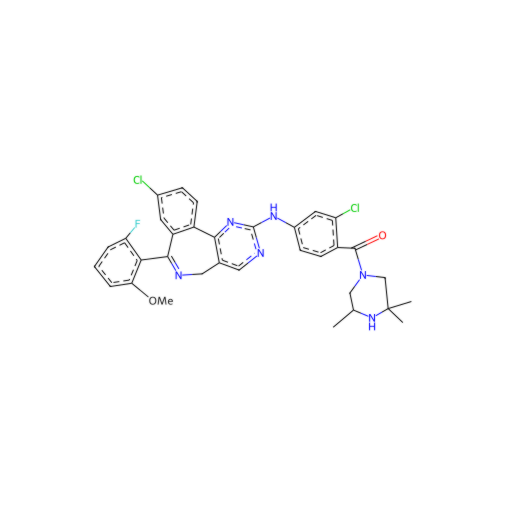 COc1cccc(F)c1C1=NCc2cnc(Nc3ccc(C(=O)N4CC(C)NC(C)(C)C4)c(Cl)c3)nc2-c2ccc(Cl)cc21